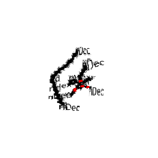 CCCCCCCCCCCC#Cc1cc(C#CCCCCCCCCCCC)cc(C(=C(C#CCCCCCCCCCCCCCCCC)C(=C=[N+]=[N-])CC)c2cc(CCCCCC)cc(CCCCCC)c2)c1.CCCCCCCCCCCCCCCCCCCCC[CH2][Pd][CH2]CCCCCCCCCCCCCCCCCCCCC